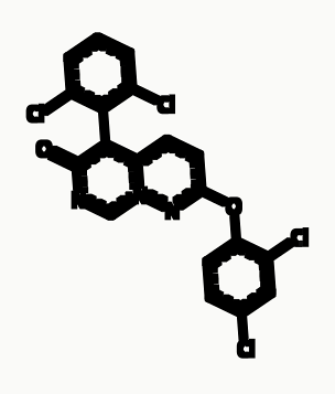 O=c1ncn2nc(Oc3ccc(Cl)cc3Cl)ccc2c1-c1c(Cl)cccc1Cl